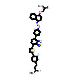 CCCCC(CC)CCc1ccc(-c2ccc(-c3ccc(-c4ccc(/N=N/c5ccc(OCC(CC)CCCC)c6ccccc56)cc4)c4nsnc34)s2)c(F)c1